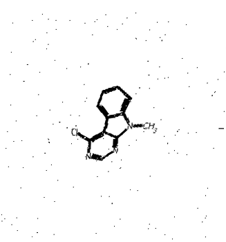 Cn1c2ccccc2c2c(Cl)ncnc21